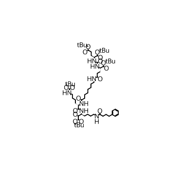 CC(C)(C)OC(=O)CC[C@H](NC(=O)N[C@@H](CCC(=O)NCCCCCCCC(=O)N[C@@H](CCCCNC(=O)OC(C)(C)C)C(=O)N[C@@H](CCCCNC(=O)CCCc1ccccc1)C(=O)C(=O)OC(C)(C)C)C(=O)OC(C)(C)C)C(=O)OC(C)(C)C